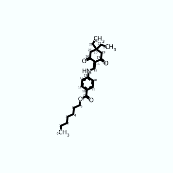 CCCCCCCOC(=O)c1ccc(NC=C2C(=O)CC(CC)(CC)CC2=O)cc1